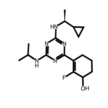 CC(C)Nc1nc(N[C@@H](C)C2CC2)nc(C2=C(F)C(O)CCC2)n1